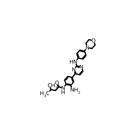 CC(C)CC(=O)Nc1ccc(-c2ccnc(Nc3ccc(N4CCOCC4)cc3)n2)cc1N